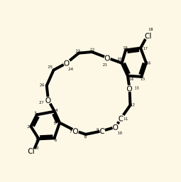 Clc1ccc2c(c1)OCCOCCOc1ccc(Cl)cc1OCCOCCO2